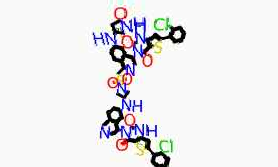 O=C1C[C@@H](Nc2ccc3c(CS(=O)(=O)N4CC(Nc5ccc6cncc(-n7c(=O)[nH]c8cc(-c9ccccc9Cl)sc8c7=O)c6c5)C4)ncc(-n4c(=O)[nH]c5cc(-c6ccccc6Cl)sc5c4=O)c3c2)CN1